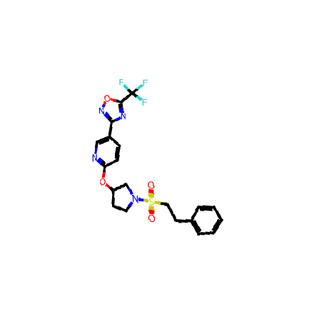 O=S(=O)(CCc1ccccc1)N1CCC(Oc2ccc(-c3noc(C(F)(F)F)n3)cn2)C1